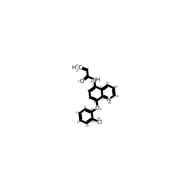 C=CC(=O)Nc1ccc(Oc2ccccc2Cl)c2ncccc12